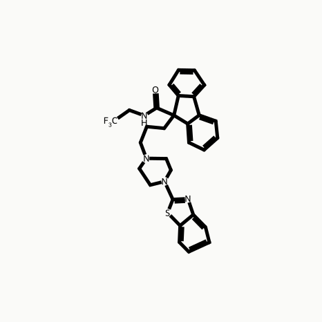 O=C(NCC(F)(F)F)C1(CCCN2CCN(c3nc4ccccc4s3)CC2)c2ccccc2-c2ccccc21